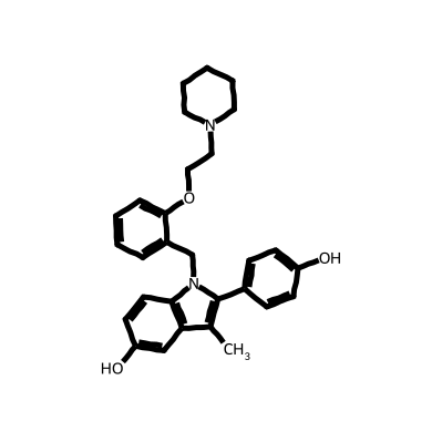 Cc1c(-c2ccc(O)cc2)n(Cc2ccccc2OCCN2CCCCC2)c2ccc(O)cc12